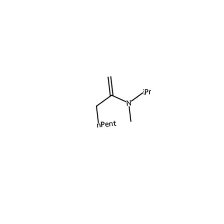 C=C(CCCCCC)N(C)C(C)C